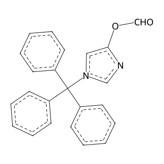 O=COc1cn(C(c2ccccc2)(c2ccccc2)c2ccccc2)cn1